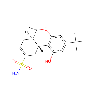 CC(C)(C)c1cc(O)c2c(c1)OC(C)(C)[C@@H]1CC=C(S(N)(=O)=O)C[C@@H]21